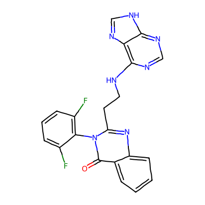 O=c1c2ccccc2nc(CCNc2ncnc3[nH]cnc23)n1-c1c(F)cccc1F